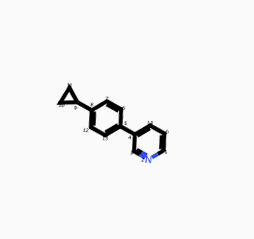 c1cncc(-c2ccc(C3CC3)cc2)c1